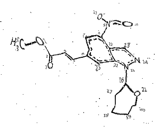 COC(=O)/C=C/c1cc([N+](=O)[O-])c2cnn(C3CCCCO3)c2c1